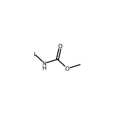 COC(=O)NI